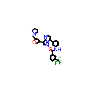 O=C(Nc1cccc(-c2ccnc3c(-c4coc(CN5CCCC5)c4)cnn23)c1)c1cccc(C(F)(F)F)c1